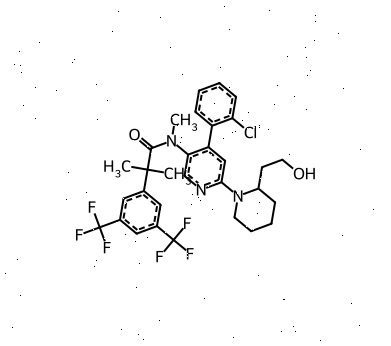 CN(C(=O)C(C)(C)c1cc(C(F)(F)F)cc(C(F)(F)F)c1)c1cnc(N2CCCCC2CCO)cc1-c1ccccc1Cl